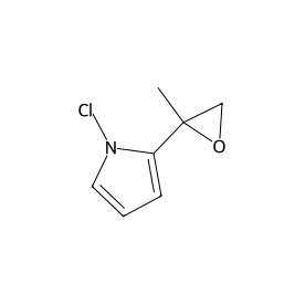 CC1(c2cccn2Cl)CO1